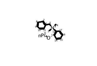 CCC[O-].C[N+](C)(Cc1ccccc1)c1ccccc1